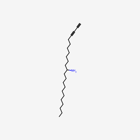 C#CC#CCCCCCCCC(N)CCCCCCCCCCC